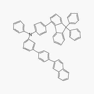 c1ccc(N(c2ccc(-c3cccc4c3-c3ccccc3C4(c3ccccc3)c3ccccc3)cc2)c2cccc(-c3ccc(-c4ccc5ccccc5c4)cc3)c2)cc1